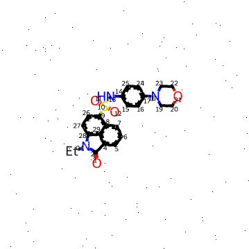 CCN1C(=O)c2cccc3c(S(=O)(=O)Nc4ccc(N5CCOCC5)cc4)ccc1c23